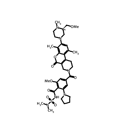 COC[C@H]1CN(c2cc(C)c3c4c(c(=O)oc3c2C)CN(C(=O)c2cc(OC)c(C(=O)NS(=O)(=O)N(C)C)c(N3CCCC3)c2)CC4)CCN1C